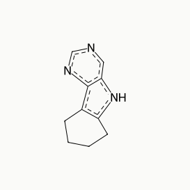 c1ncc2[nH]c3c(c2n1)CCCC3